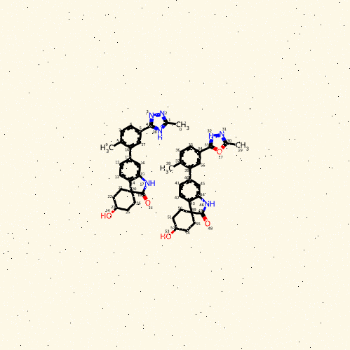 Cc1nnc(-c2ccc(C)c(-c3ccc4c(c3)NC(=O)C43CCC(O)CC3)c2)[nH]1.Cc1nnc(-c2ccc(C)c(-c3ccc4c(c3)NC(=O)C43CCC(O)CC3)c2)o1